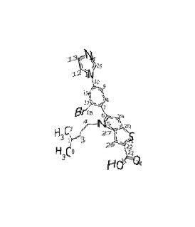 CC(C)CCn1c(-c2ccc(-n3ccnc3)cc2Br)cc2sc(C(=O)O)cc21